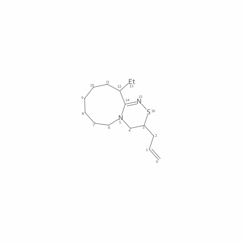 C=CCC1CN2CCCCCCC(CC)C2=NS1